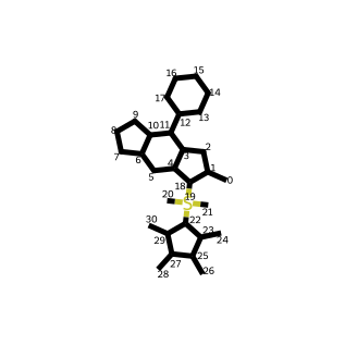 CC1CC2C(CC3CCCC3C2C2CCCCC2)C1S(C)(C)C1C(C)C(C)C(C)C1C